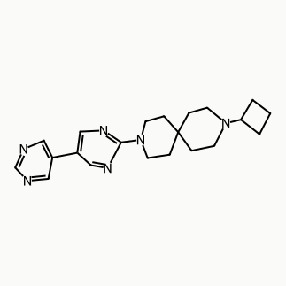 c1ncc(-c2cnc(N3CCC4(CC3)CCN(C3CCC3)CC4)nc2)cn1